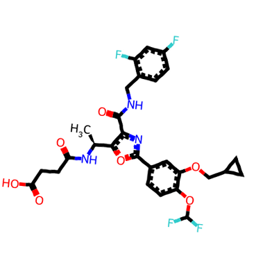 C[C@H](NC(=O)CCC(=O)O)c1oc(-c2ccc(OC(F)F)c(OCC3CC3)c2)nc1C(=O)NCc1ccc(F)cc1F